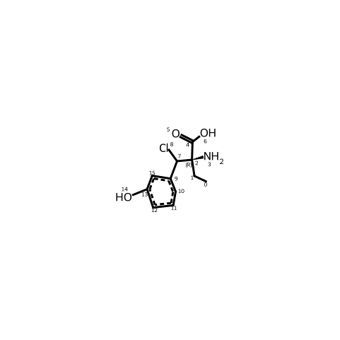 CC[C@@](N)(C(=O)O)C(Cl)c1cccc(O)c1